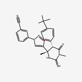 CN1C(=N)N[C@](C)(c2cnn(-c3cccc(C#N)c3)c2)[C@H](c2ccc(C(C)(C)C)cc2)C1=O